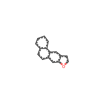 c1ccc2c(c1)ccc1cc3occc3cc12